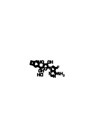 Cl.Nc1ncnc2c1c(F)cn2[C@H]1O[C@H]([C@H](O)c2ccc3c(c2)CC3)[C@H](O)[C@@H]1O